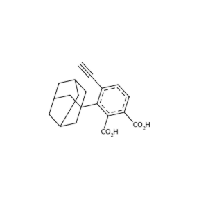 C#Cc1ccc(C(=O)O)c(C(=O)O)c1C12CC3CC(CC(C3)C1)C2